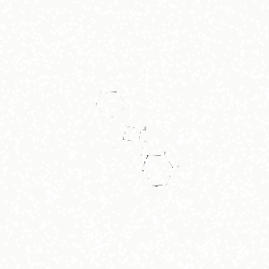 CCC1N(C2CCCCC2)[SiH2]N1C1CCCCC1